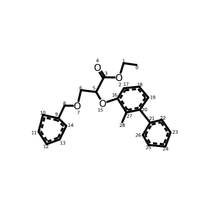 CCOC(=O)C(COCc1ccccc1)Oc1cccc(-c2ccccc2)c1C